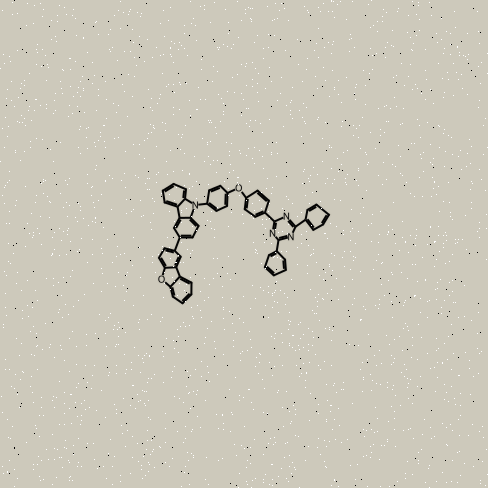 c1ccc(-c2nc(-c3ccccc3)nc(-c3ccc(Oc4ccc(-n5c6ccccc6c6cc(-c7ccc8oc9ccccc9c8c7)ccc65)cc4)cc3)n2)cc1